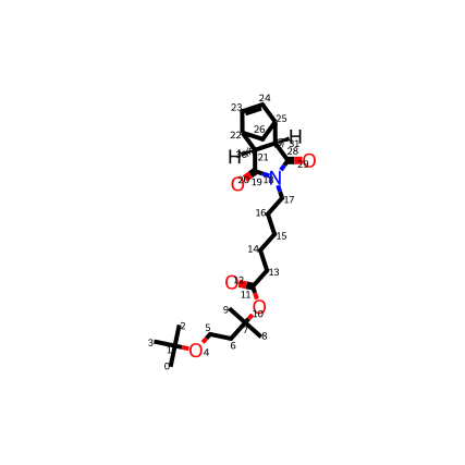 CC(C)(C)OCCC(C)(C)OC(=O)CCCCCN1C(=O)[C@@H]2C3C=CC(C3)[C@@H]2C1=O